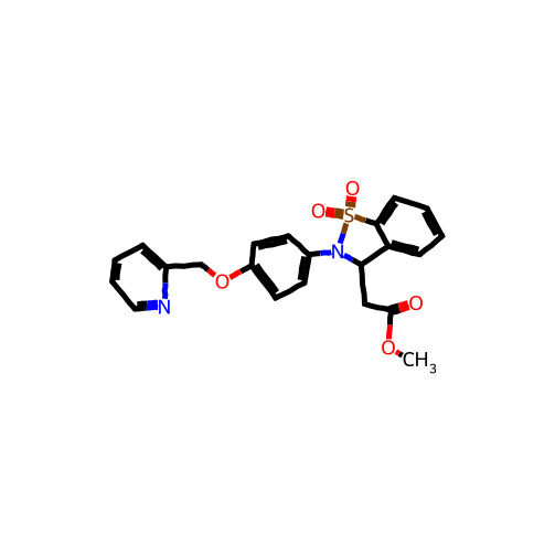 COC(=O)CC1c2ccccc2S(=O)(=O)N1c1ccc(OCc2ccccn2)cc1